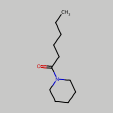 CCCCCC(=O)N1CCCCC1